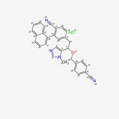 Cl.Cn1cncc1C(Cc1ccc(C#N)c(-c2cccc3ccccc23)c1)OCc1ccc(C#N)cc1